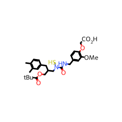 COc1cc(CNC(=O)N(S)CC(COC(=O)C(C)(C)C)Cc2ccc(C)c(C)c2)ccc1OCC(=O)O